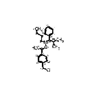 CCCCN(OC(C)c1ccc(CCl)cc1)C(c1ccccc1)C(C)C